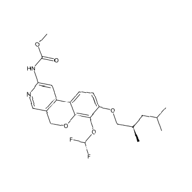 COC(=O)Nc1cc2c(cn1)COc1c-2ccc(OC[C@H](C)CC(C)C)c1OC(F)F